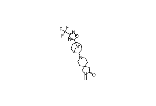 O=C1CC2(CCN(C3CC4CCCC3CN4c3nc(C(F)(F)F)no3)CC2)CN1